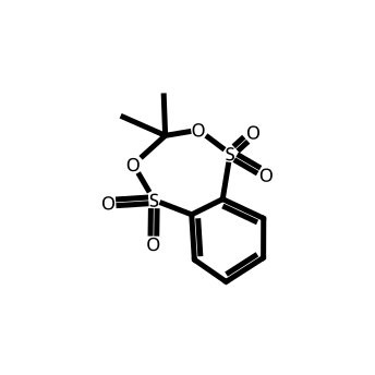 CC1(C)OS(=O)(=O)c2ccccc2S(=O)(=O)O1